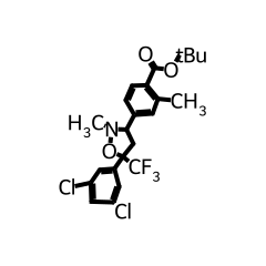 Cc1cc(C2CC(c3cc(Cl)cc(Cl)c3)(C(F)(F)F)ON2C)ccc1C(=O)OC(C)(C)C